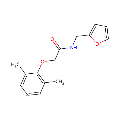 Cc1c[c]cc(C)c1OCC(=O)NCc1ccco1